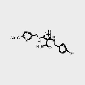 COc1ccc(CNc2n[nH]c(NCc3ccc(O)cc3)c2C(N)=O)cn1